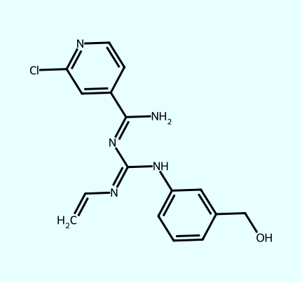 C=C/N=C(\N=C(/N)c1ccnc(Cl)c1)Nc1cccc(CO)c1